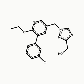 CCOc1ncc(Cn2cnc(CO)n2)cc1-c1cccc(Cl)c1